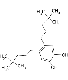 CC(C)(C)CCCc1cc(O)c(O)cc1CCCC(C)(C)C